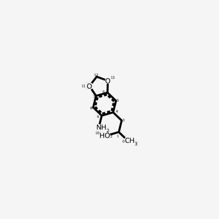 CC(O)Cc1cc2c(cc1N)OCO2